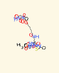 CS(=O)(=O)n1ccc(C(=O)N[C@@H](CCCCNC(=O)CCCCCCCOc2cccc3c2C(=O)N(C2CCC(=O)NC2=O)C3=O)C(=O)Nc2nc(-c3ccccc3)cs2)c1